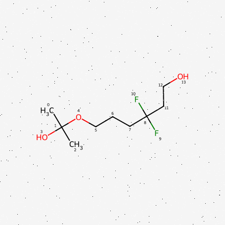 CC(C)(O)OCCCC(F)(F)CCO